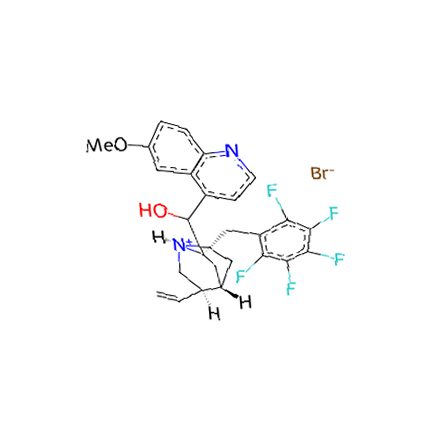 C=C[C@H]1C[N@H+]2CC[C@H]1C[C@]2(Cc1c(F)c(F)c(F)c(F)c1F)C(O)c1ccnc2ccc(OC)cc12.[Br-]